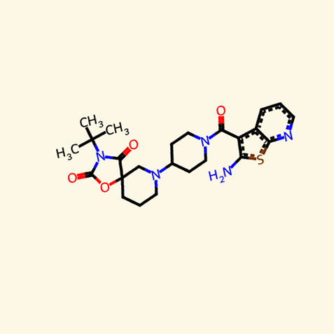 CC(C)(C)N1C(=O)OC2(CCCN(C3CCN(C(=O)c4c(N)sc5ncccc45)CC3)C2)C1=O